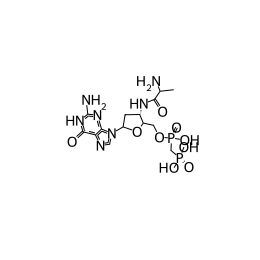 CC(N)C(=O)N[C@H]1CC(n2cnc3c(=O)[nH]c(N)nc32)OC1COP(=O)(O)CP(=O)(O)O